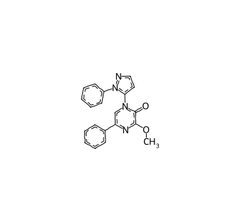 COc1nc(-c2ccccc2)cn(-c2ccnn2-c2ccccc2)c1=O